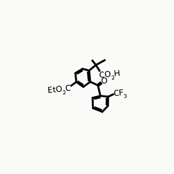 CCOC(=O)c1ccc(C(C)(C)C(=O)O)c(C(=O)c2ccccc2C(F)(F)F)c1